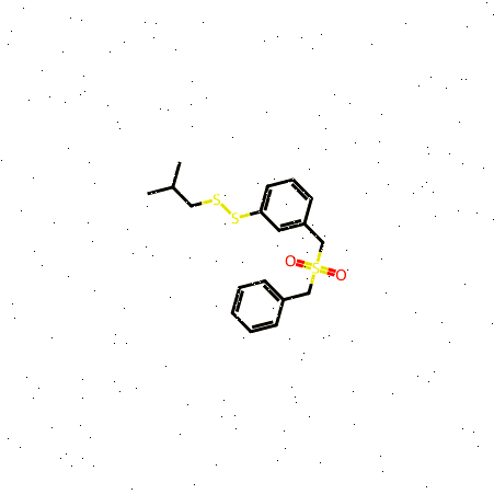 CC(C)CSSc1cccc(CS(=O)(=O)Cc2ccccc2)c1